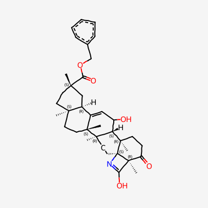 C[C@]1(C(=O)OCc2ccccc2)CC[C@]2(C)CC[C@]3(C)C(=CC(O)[C@@H]4[C@@]5(C)CCC(=O)[C@@]6(C)C(O)=N[C@]65CC[C@]43C)[C@@H]2C1